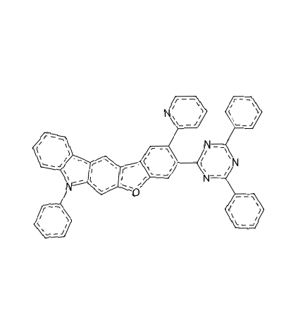 c1ccc(-c2nc(-c3ccccc3)nc(-c3cc4oc5cc6c(cc5c4cc3-c3ccccn3)c3ccccc3n6-c3ccccc3)n2)cc1